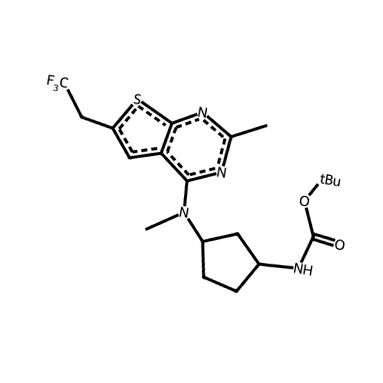 Cc1nc(N(C)C2CCC(NC(=O)OC(C)(C)C)C2)c2cc(CC(F)(F)F)sc2n1